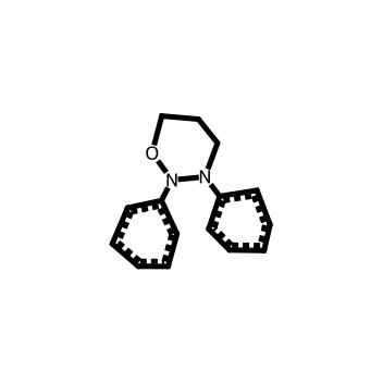 c1ccc(N2CCCON2c2ccccc2)cc1